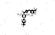 C[C@@H]1CN(c2ncc(C(F)(F)F)cn2)C[C@H](C)N1C(=O)C1CC(Cc2c[nH]c(=O)c(C(F)(F)F)c2)C1